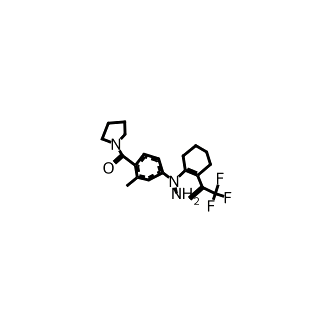 C=C(C1=C(N(N)c2ccc(C(=O)N3CCCC3)c(C)c2)CCCC1)C(F)(F)F